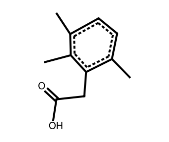 Cc1ccc(C)c(CC(=O)O)c1C